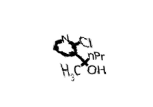 CCCC(C)(O)c1cccnc1Cl